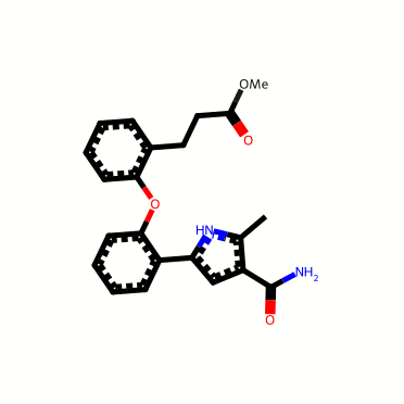 COC(=O)CCc1ccccc1Oc1ccccc1-c1cc(C(N)=O)c(C)[nH]1